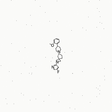 COc1ccccc1C1CCN(C2CCC3(C2)CN(c2cncc(F)c2)C3)CC1